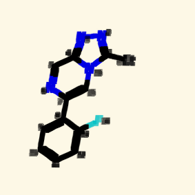 CCc1nnc2cnc(-c3ccccc3F)cn12